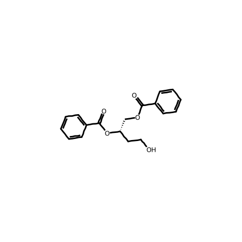 O=C(OC[C@H](CCO)OC(=O)c1ccccc1)c1ccccc1